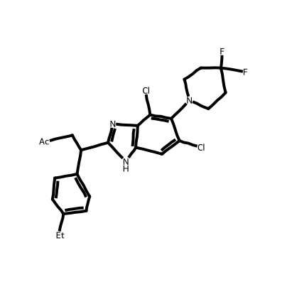 CCc1ccc(C(CC(C)=O)c2nc3c(Cl)c(N4CCC(F)(F)CC4)c(Cl)cc3[nH]2)cc1